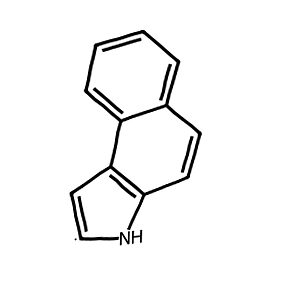 [c]1cc2c(ccc3ccccc32)[nH]1